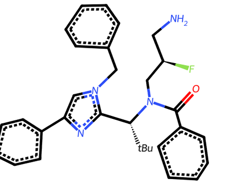 CC(C)(C)[C@H](c1nc(-c2ccccc2)cn1Cc1ccccc1)N(C[C@H](F)CN)C(=O)c1ccccc1